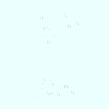 COC(=O)NCC(C)CC(=O)N1C2CCC(C2)C1c1nc2ccc(-c3ccc(-c4ccc5cc(-c6cnc(C7CCCN7C(=O)C(NC(=O)OC)C(C)C)[nH]6)ccc5c4)cc3)cc2[nH]1